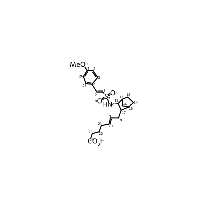 COc1ccc(/C=C/S(=O)(=O)NC2C3CCC(C3)C2C/C=C/CCCC(=O)O)cc1